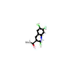 COC(=O)c1cc2cc(Cl)c(Cl)cc2nc1Cl